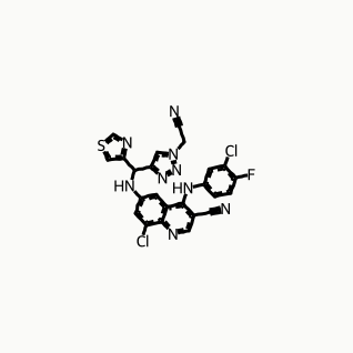 N#CCn1cc(C(Nc2cc(Cl)c3ncc(C#N)c(Nc4ccc(F)c(Cl)c4)c3c2)c2cscn2)nn1